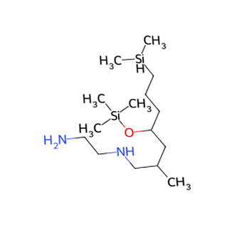 CC(CNCCN)CC(CCC[SiH](C)C)O[Si](C)(C)C